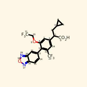 O=C(O)C(CC1CC1)c1cc(OCC(F)(F)F)c(-c2ccc3nonc3c2)c(C(F)(F)F)c1